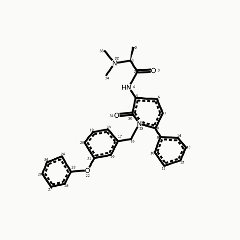 C[C@@H](C(=O)Nc1ccc(-c2ccccc2)n(Cc2cccc(Oc3ccccc3)c2)c1=O)N(C)C